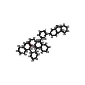 c1cc(-c2ccc3c(c2)oc2ccccc23)cc(-c2c3ccccc3c(-c3ccccc3-c3cccc4ccccc34)c3ccccc23)c1